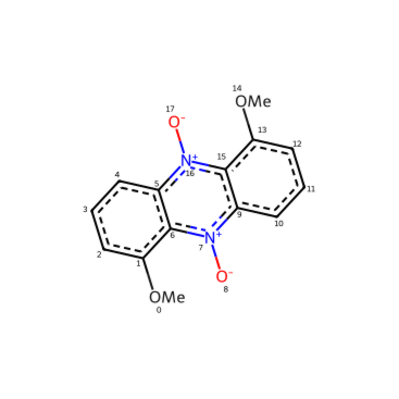 COc1cccc2c1[n+]([O-])c1cccc(OC)c1[n+]2[O-]